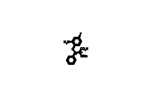 CN[C@H](C(=O)O)[C@H](Oc1ccc(F)cc1N)c1ccccc1